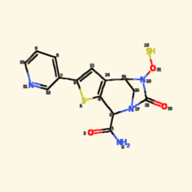 NC(=O)C1c2sc(-c3cccnc3)cc2C2CN1C(=O)N2OS